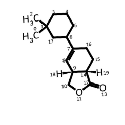 CC1(C)CCCC(C2=C[C@H]3COC(=O)[C@H]3CC2)C1